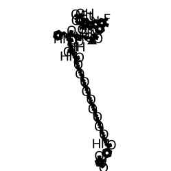 CC[C@@]1(O)C(=O)OCc2c1cc1n(c2=O)Cc2c-1nc1cc(F)c(C)c3c1c2[C@@H](NC(=O)C1(OCNC(=O)CNC(=O)[C@H](Cc2ccccc2)NC(=O)CNC(=O)CNC(=O)COCCOCCOCCOCCOCCOCCOCCOCCOCCNC(=O)[C@H]2CC[C@H](CN4C(=O)C=CC4=O)CC2)CC1)CC3